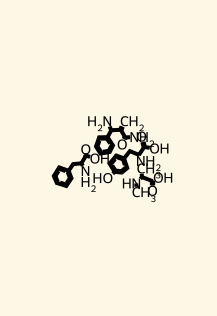 C=C(C(N)=O)C(N)c1ccccc1.CNC(C)C(=O)O.NC(Cc1ccc(O)cc1)C(=O)O.NC(Cc1ccccc1)C(=O)O